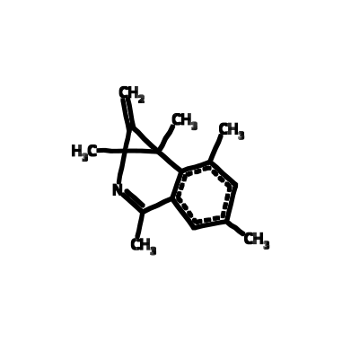 C=C1C2(C)N=C(C)c3cc(C)cc(C)c3C12C